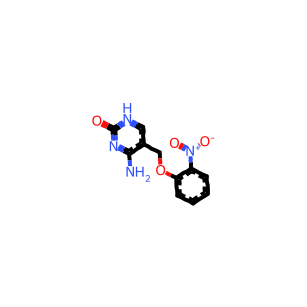 Nc1nc(=O)[nH]cc1COc1ccccc1[N+](=O)[O-]